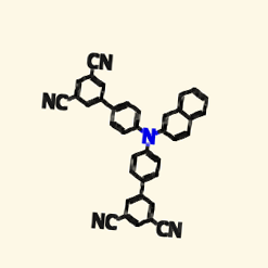 N#Cc1cc(C#N)cc(-c2ccc(N(c3ccc(-c4cc(C#N)cc(C#N)c4)cc3)c3ccc4ccccc4c3)cc2)c1